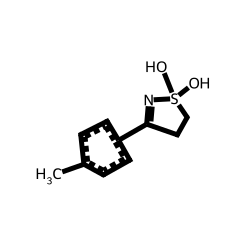 Cc1ccc(C2=NS(O)(O)CC2)cc1